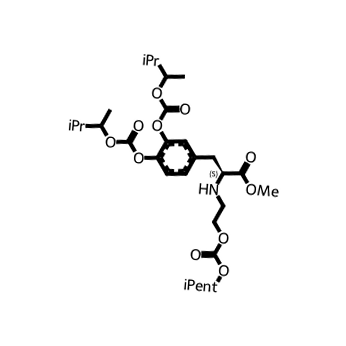 CCCC(C)OC(=O)OCCN[C@@H](Cc1ccc(OC(=O)OC(C)C(C)C)c(OC(=O)OC(C)C(C)C)c1)C(=O)OC